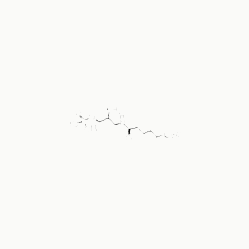 CCCCCCCCCCCCCCC(=O)NCC(O)COP(=O)(O)O